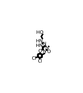 Cn1c(=O)n(Cc2ccc(Cl)c(Cl)c2)c(=O)c2[nH]c(NCCCO)nc21